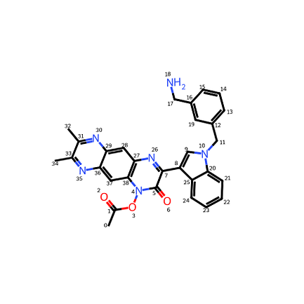 CC(=O)On1c(=O)c(-c2cn(Cc3cccc(CN)c3)c3ccccc23)nc2cc3nc(C)c(C)nc3cc21